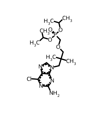 CC(C)OP(=O)(COCC(C)(C)Cn1cnc2c(Cl)nc(N)nc21)OC(C)C